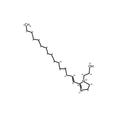 CCCCCCCCCCCCCCC=CC1=NCCN1CCO